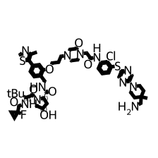 Cc1ncsc1-c1ccc(CNC(=O)[C@@H]2C[C@@H](O)CN2C(=O)[C@@H](NC(=O)C2(F)CC2)C(C)(C)C)c(OCCCN2CCN(CC(=O)Nc3cccc(Sc4cnc(N5CCC(C)(CN)CC5)cn4)c3Cl)C(=O)C2)c1